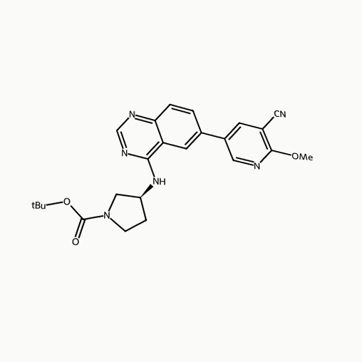 COc1ncc(-c2ccc3ncnc(N[C@H]4CCN(C(=O)OC(C)(C)C)C4)c3c2)cc1C#N